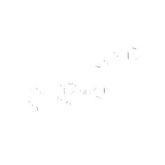 CNC(=O)[C@H]1OC(n2cnc3c(NCc4cc(Cl)ccc4OCC(=O)N4CCN(Cc5ccccc5)CC4)ncnc32)[C@H](O)[C@@H]1N